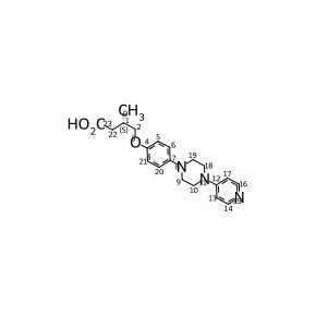 C[C@H](COc1ccc(N2CCN(c3ccncc3)CC2)cc1)CC(=O)O